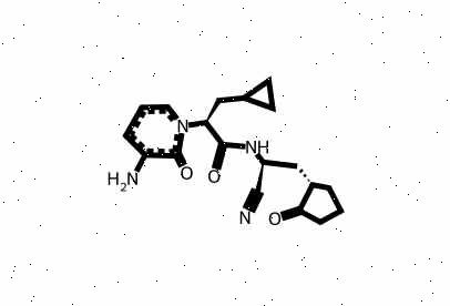 N#C[C@H](C[C@@H]1CCCC1=O)NC(=O)[C@H](CC1CC1)n1cccc(N)c1=O